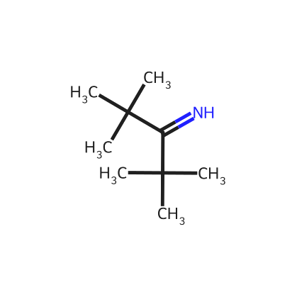 CC(C)(C)C(=N)C(C)(C)C